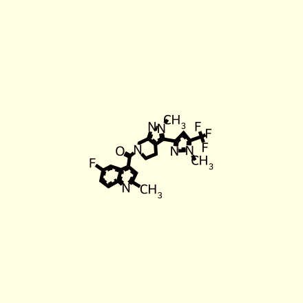 Cc1cc(C(=O)N2CCc3c(nn(C)c3-c3cc(C(F)(F)F)n(C)n3)C2)c2cc(F)ccc2n1